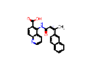 C/C(=C/C(=O)Nc1c(C(=O)O)ccc2ncccc12)c1ccc2ccccc2c1